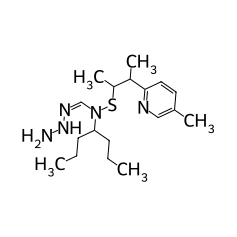 CCCC(CCC)N(/C=N\NN)SC(C)C(C)c1ccc(C)cn1